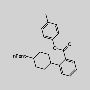 CCCCCC1CCC(c2ccccc2C(=O)Oc2ccc(C)cc2)CC1